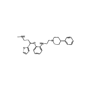 CNCCC(Oc1ccccc1NCCN1CCC(c2ccccc2)CC1)c1cccs1